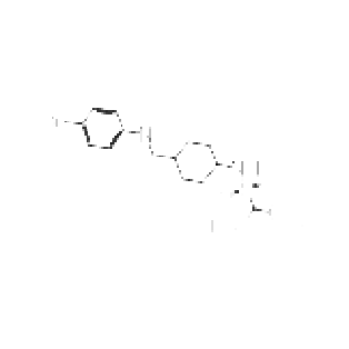 CC(C)S(=O)(=O)NC1CCC(CNc2ccc(Br)cc2)CC1